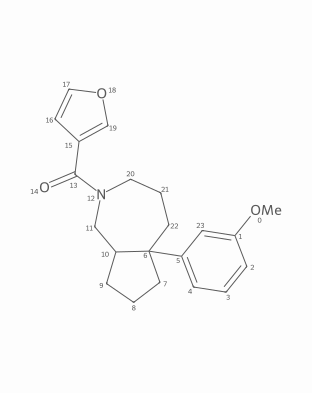 COc1cccc(C23CCCC2CN(C(=O)c2ccoc2)CCC3)c1